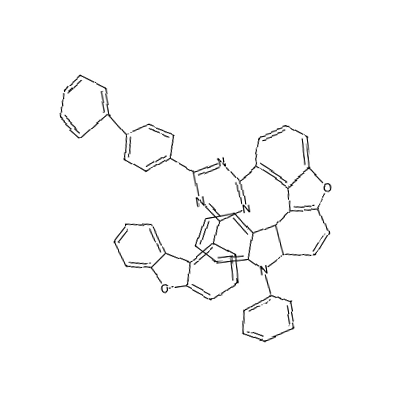 C1=CC2C(c3ccccc3N2c2ccccc2)c2c1oc1cccc(-c3nc(-c4ccc(-c5ccccc5)cc4)nc(-c4cccc5oc6ccccc6c45)n3)c21